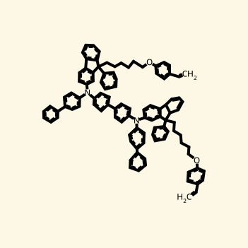 C=Cc1ccc(OCCCCCCC2(c3ccccc3)c3ccccc3-c3ccc(N(c4ccc(-c5ccccc5)cc4)c4ccc(-c5ccc(N(c6ccc(-c7ccccc7)cc6)c6ccc7c(c6)C(CCCCCCOc6ccc(C=C)cc6)(c6ccccc6)C6C=CC=CC76)cc5)cc4)cc32)cc1